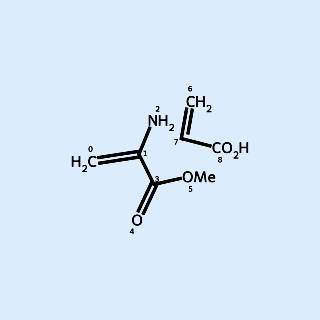 C=C(N)C(=O)OC.C=CC(=O)O